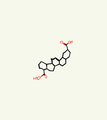 O=C(O)C1CCC2CCC3C(=CCC4C3CCC3C(C(=O)O)CCCC34)C2C1